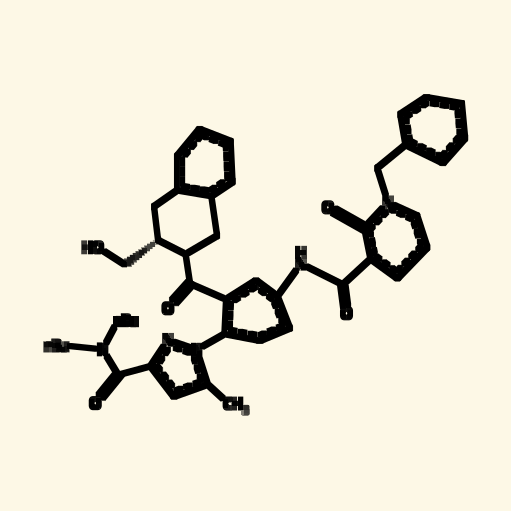 CCCCN(CCCC)C(=O)c1cc(C)n(-c2ccc(NC(=O)c3cccn(Cc4ccccc4)c3=O)cc2C(=O)C2Cc3ccccc3C[C@H]2CO)n1